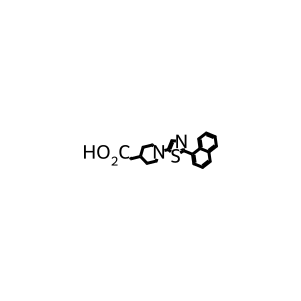 O=C(O)CC1CCN(c2cnc(-c3cccc4ccccc34)s2)CC1